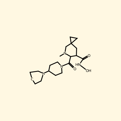 CN1CC2(CC2)CC(C(=O)NO)C1C(=O)N1CCC(N2CCCCC2)CC1